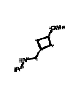 CO[C@H]1C[C@@H](CNC(C)C)C1